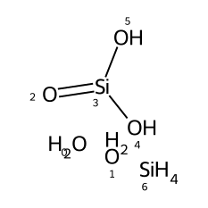 O.O.O=[Si](O)O.[SiH4]